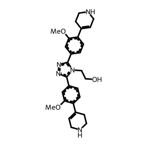 COc1cc(-c2nnc(-c3ccc(C4=CCNCC4)c(OC)c3)n2CCO)ccc1C1=CCNCC1